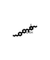 CCCCC1CCC(C2CCC(CC(C(=O)O)c3ccc(CCC)c(F)c3)CC2)CC1